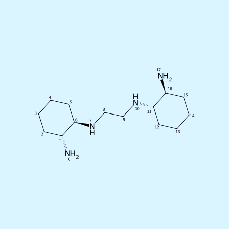 N[C@@H]1CCCC[C@H]1NCCN[C@H]1CCCC[C@@H]1N